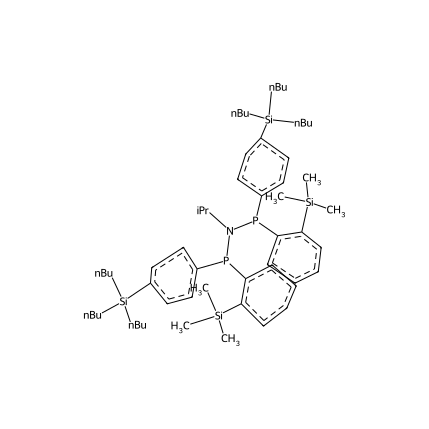 CCCC[Si](CCCC)(CCCC)c1ccc(P(c2ccccc2[Si](C)(C)C)N(C(C)C)P(c2ccc([Si](CCCC)(CCCC)CCCC)cc2)c2ccccc2[Si](C)(C)C)cc1